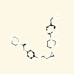 COCc1cnc(N2CCC([C@H]3CC3CCOc3ccc(CC(=O)N4CCOCC4)cc3)CC2)nc1